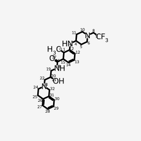 CC1C(NC2CCN(CC(F)(F)F)CC2)=CC=CC1C(=O)NCC(O)CN1CCc2ccccc2C1